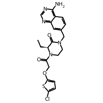 CC[C@H]1C(=O)N(Cc2ccc3c(N)ncnc3c2)CCN1C(=O)COc1ccc(Cl)s1